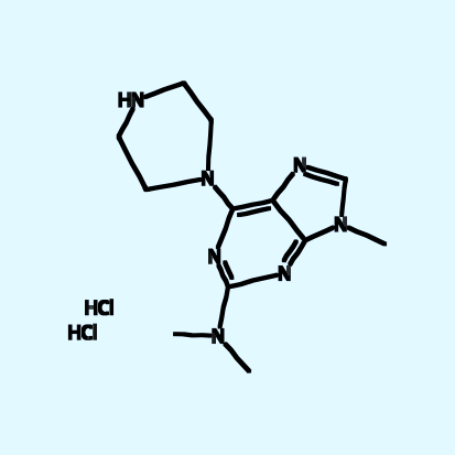 CN(C)c1nc(N2CCNCC2)c2ncn(C)c2n1.Cl.Cl